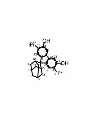 CC(C)c1cc(C2(c3ccc(O)c(C(C)C)c3)C3CC4CC(C3)CC2C4)ccc1O